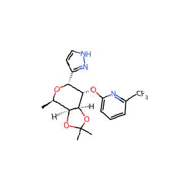 C[C@H]1O[C@H](c2cc[nH]n2)[C@H](Oc2cccc(C(F)(F)F)n2)[C@H]2OC(C)(C)O[C@H]21